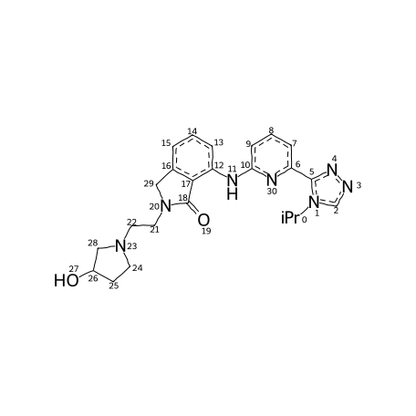 CC(C)n1cnnc1-c1cccc(Nc2cccc3c2C(=O)N(CCN2CCC(O)C2)C3)n1